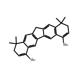 CC(C)(C)C1=CCC(C)(C)c2cc3c(cc21)-c1cc2c(cc1C3)C(C)(C)CC=C2C(C)(C)C